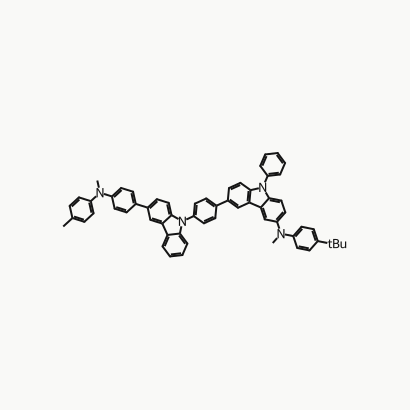 Cc1ccc(N(C)c2ccc(-c3ccc4c(c3)c3ccccc3n4-c3ccc(-c4ccc5c(c4)c4cc(N(C)c6ccc(C(C)(C)C)cc6)ccc4n5-c4ccccc4)cc3)cc2)cc1